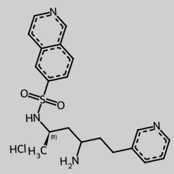 C[C@H](CC(N)CCc1cccnc1)NS(=O)(=O)c1ccc2cnccc2c1.Cl